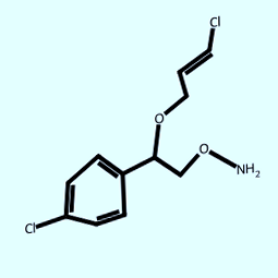 NOCC(OCC=CCl)c1ccc(Cl)cc1